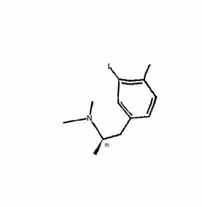 Cc1ccc(C[C@@H](C)N(C)C)cc1I